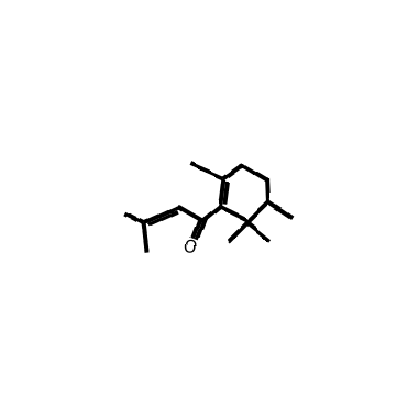 CC(C)=CC(=O)C1=C(C)CCC(C)C1(C)C